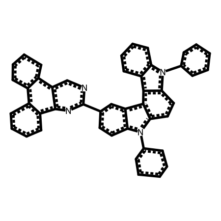 c1ccc(-n2c3ccccc3c3c4c5cc(-c6ncc7c8ccccc8c8ccccc8c7n6)ccc5n(-c5ccccc5)c4ccc32)cc1